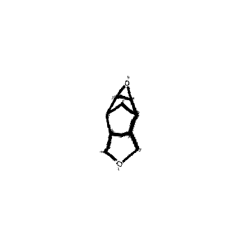 C1OCC2C1C1CC2C2OC12